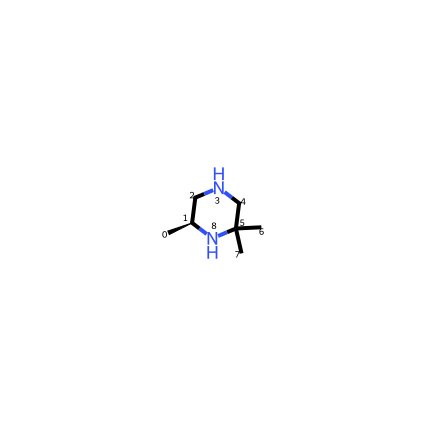 C[C@H]1CNCC(C)(C)N1